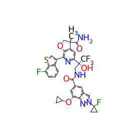 C[C@]1(C(N)=O)COc2c1cc(C(O)(CNC(=O)c1cc(OC3CC3)c3nn(C4(F)CC4)cc3c1)C(F)(F)F)nc2-c1csc2c(F)cccc12